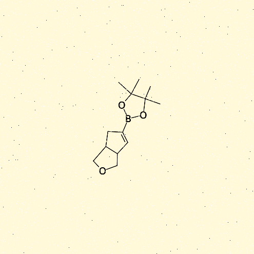 CC1(C)OB(C2=CC3COCC3C2)OC1(C)C